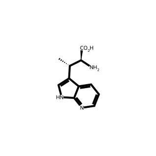 C[C@@H](c1c[nH]c2ncccc12)[C@H](N)C(=O)O